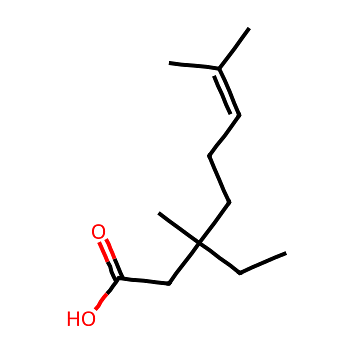 CCC(C)(CCC=C(C)C)CC(=O)O